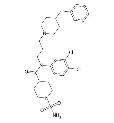 NS(=O)(=O)N1CCC(C(=O)N(CCCN2CCC(Cc3ccccc3)CC2)c2ccc(Cl)c(Cl)c2)CC1